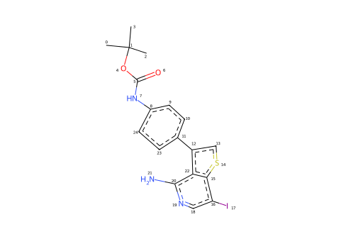 CC(C)(C)OC(=O)Nc1ccc(-c2csc3c(I)cnc(N)c23)cc1